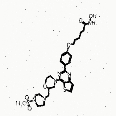 CS(=O)(=O)N1CCN(CC2CN(c3nc(-c4ccc(OCCCCCC(=O)NO)cc4)nc4ccsc34)CCO2)CC1